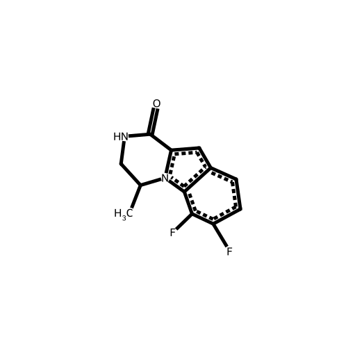 CC1CNC(=O)c2cc3ccc(F)c(F)c3n21